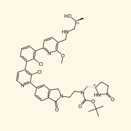 COc1nc(-c2cccc(-c3ccnc(-c4ccc5c(c4)CN(CCN(C[C@@H]4CCC(=O)N4)C(=O)OC(C)(C)C)C5=O)c3Cl)c2Cl)ccc1CNC[C@H](C)O